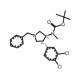 CN(C(=O)OC(C)(C)C)[C@@H]1CN(Cc2ccccc2)C[C@H]1c1ccc(Cl)c(Cl)c1